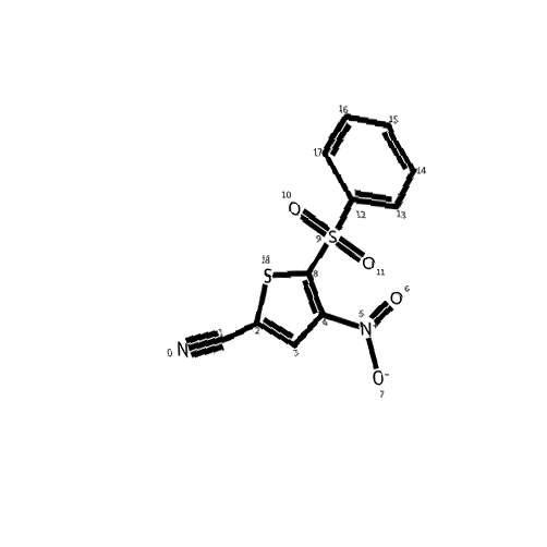 N#Cc1cc([N+](=O)[O-])c(S(=O)(=O)c2ccccc2)s1